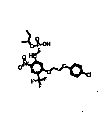 CCC(C)OP(=O)(O)CNc1cc(OCCOc2ccc(Cl)cc2)c(C(F)(F)F)cc1[N+](=O)[O-]